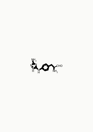 Nc1n[nH]c(Nc2ccc(C[C@H](N)C=O)cc2)n1